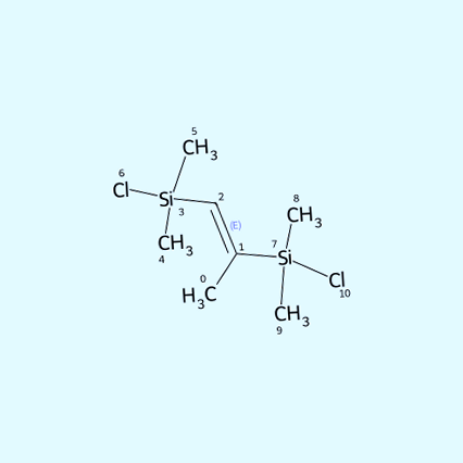 C/C(=C\[Si](C)(C)Cl)[Si](C)(C)Cl